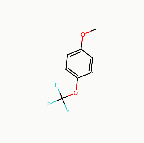 COc1c[c]c(OC(F)(F)F)cc1